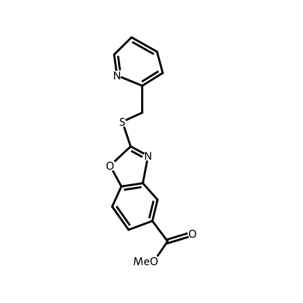 COC(=O)c1ccc2oc(SCc3ccccn3)nc2c1